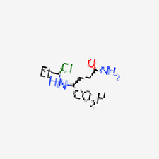 CCC(Cl)NC(CCC(N)=O)C(=O)O